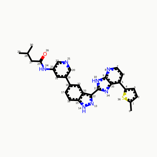 Cc1ccc(-c2ccnc3[nH]c(-c4n[nH]c5ccc(-c6cncc(NC(=O)CC(C)C)c6)cc45)nc23)s1